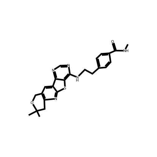 CNC(=O)c1ccc(CCNc2ncnc3c2sc2nc4c(cc23)COC(C)(C)C4)cc1